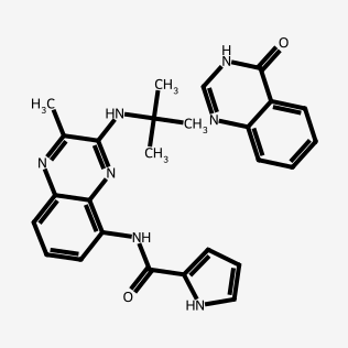 Cc1nc2cccc(NC(=O)c3ccc[nH]3)c2nc1NC(C)(C)C.O=c1[nH]cnc2ccccc12